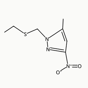 CCSCn1nc([N+](=O)[O-])cc1C